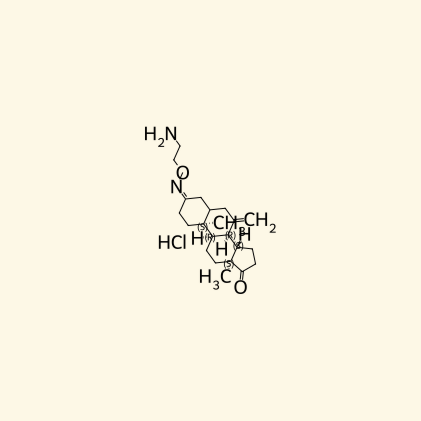 C=C1CC2CC(=NOCCN)CC[C@]2(C)[C@@H]2CC[C@]3(C)C(=O)CC[C@H]3[C@H]12.Cl